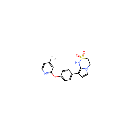 O=S1(=O)CCn2ccc(-c3ccc(Oc4cc(C(F)(F)F)ccn4)cc3)c2N1